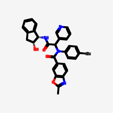 Cc1nc2ccc(C(=O)N(c3ccc(C(C)(C)C)cc3)C(C(=O)N[C@H]3c4ccccc4C[C@H]3O)c3cccnc3)cc2o1